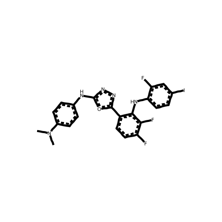 CN(C)c1ccc(Nc2nnc(-c3ccc(F)c(F)c3Nc3ccc(I)cc3F)o2)cc1